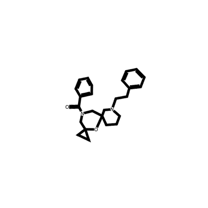 O=C(c1ccccc1)N1CC2(CC2)OC2(CCCN(CCc3ccccc3)C2)C1